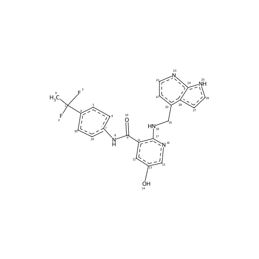 CC(F)(F)c1ccc(NC(=O)c2cc(O)cnc2NCc2ccnc3[nH]ccc23)cc1